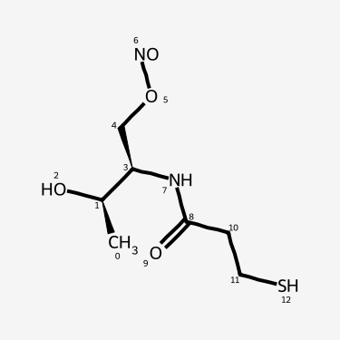 C[C@@H](O)[C@@H](CON=O)NC(=O)CCS